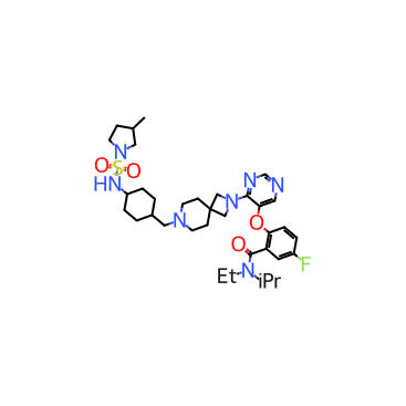 CCN(C(=O)c1cc(F)ccc1Oc1cncnc1N1CC2(CCN(CC3CCC(NS(=O)(=O)N4CCC(C)C4)CC3)CC2)C1)C(C)C